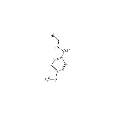 N#CCSC(=S)c1ccc(OC(F)(F)F)cc1